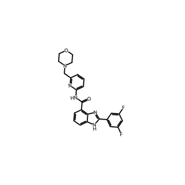 O=C(Nc1cccc(CN2CCOCC2)n1)c1cccc2[nH]c(-c3cc(F)cc(F)c3)nc12